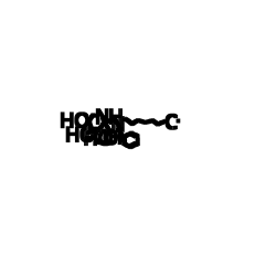 CCCCCCCCCN(CC1(CO)NCC(O)C(O)C1O)C(=O)c1ccccc1